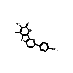 Cc1c(C#N)c(=O)[nH]c2c1oc1ccc(-c3ccc([N+](=O)[O-])cc3)nc12